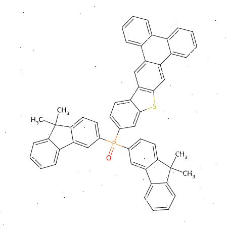 CC1(C)c2ccccc2-c2cc(P(=O)(c3ccc4c(c3)-c3ccccc3C4(C)C)c3ccc4c(c3)sc3cc5c6ccccc6c6ccccc6c5cc34)ccc21